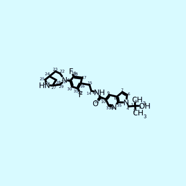 CC(C)(O)Cn1ccc2cc(C(=O)NCCc3cc(F)c(N4CCC5CNC(C5)C4)cc3F)cnc21